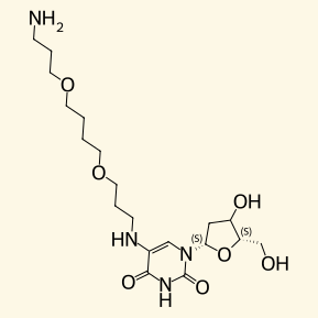 NCCCOCCCCOCCCNc1cn([C@@H]2CC(O)[C@H](CO)O2)c(=O)[nH]c1=O